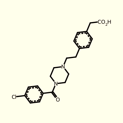 O=C(O)Cc1ccc(CCN2CCN(C(=O)c3ccc(Cl)cc3)CC2)cc1